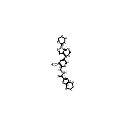 Cc1cc(-c2ncnc3c2cnn3C2CCCCO2)cnc1CNC(=O)c1cc2c(s1)CCCC2